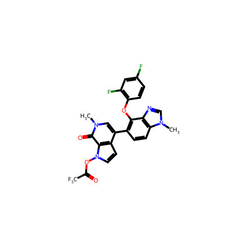 Cn1cc(-c2ccc3c(ncn3C)c2Oc2ccc(F)cc2F)c2ccn(OC(=O)C(F)(F)F)c2c1=O